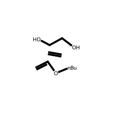 C=C.C=COCCCC.OCCO